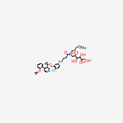 COCCCN(C[C@H](O)[C@@H](O)[C@H](O)[C@H](O)CO)C(=O)CCCSc1ccc(Cl)c(COC2(c3cnccc3-c3ccccc3OC3CC3)CC2)c1